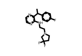 CC(c1ccc(F)cc1)c1nccnc1NCCN1CCC(F)(F)C1